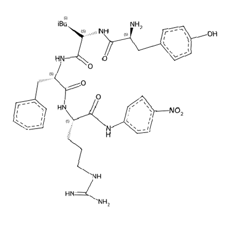 CC[C@H](C)[C@H](NC(=O)[C@@H](N)Cc1ccc(O)cc1)C(=O)N[C@@H](Cc1ccccc1)C(=O)N[C@@H](CCCNC(=N)N)C(=O)Nc1ccc([N+](=O)[O-])cc1